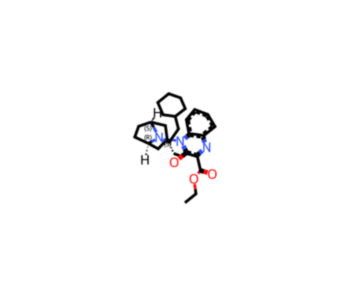 CCOC(=O)c1nc2ccccc2n([C@H]2C[C@H]3CC[C@@H](C2)N3[C@@H](CC)CC2CCCCC2)c1=O